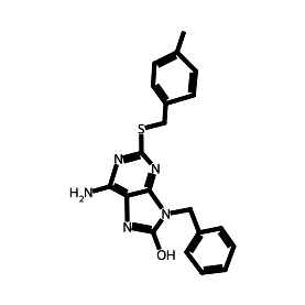 Cc1ccc(CSc2nc(N)c3nc(O)n(Cc4ccccc4)c3n2)cc1